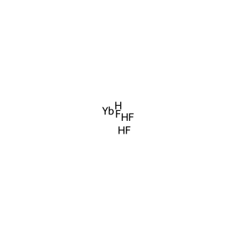 F.F.F.[Yb]